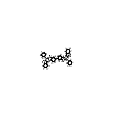 c1ccc(-n2c3oc4ccccc4c3n3c4ccc(-c5ccc6c(c5)nc5n(-c7ccccc7)c7oc8ccccc8c7n65)cc4nc23)cc1